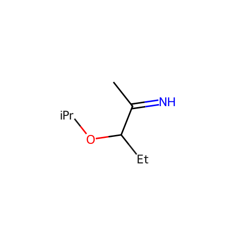 CCC(OC(C)C)C(C)=N